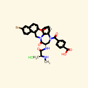 CN[C@@H](C)C(=O)N[C@H]1CN(C(=O)c2ccc(C(=O)O)cc2)c2ccccc2N(Cc2c(OC)ccc3cc(Br)ccc23)C1=O.Cl